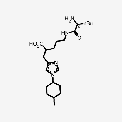 CCCC[C@H](N)C(=O)NCCCC(Cc1cn(C2CCC(C)CC2)cn1)C(=O)O